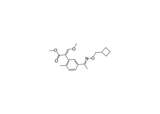 CO/C=C(/C(=O)OC)c1cc(C(C)=NOCC2CCC2)ccc1C